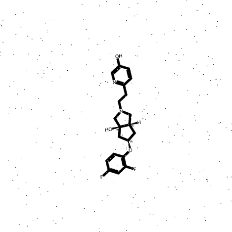 Oc1ccc(CCN2C[C@@H]3C[C@@H](Oc4ccc(F)cc4F)C[C@]3(O)C2)nc1